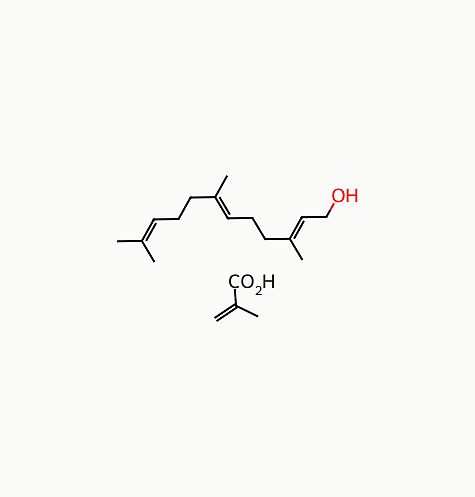 C=C(C)C(=O)O.CC(C)=CCCC(C)=CCCC(C)=CCO